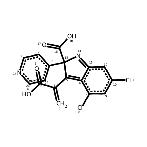 C=C(C(=O)O)C1=c2c(Cl)cc(Cl)cc2=NC1(C(=O)O)c1ccncc1